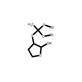 CCOC(C)(OCC)SC1CCOC1O